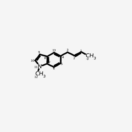 CC=CCc1ccc2c(ccn2C)c1